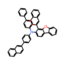 c1ccc(-c2ccc(N(c3ccc(-c4ccc5ccccc5c4)cc3)c3ccc4c(oc5ccccc54)c3-c3ccc4ccccc4c3)cc2)cc1